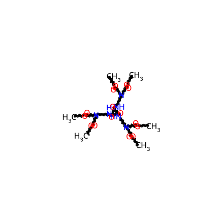 CCCCCCOC(=O)CCCCN(CCCCCCNC(=O)C1CC(C(=O)NCCCCCCN(CCCCC(=O)OCCCCCC)CCCCC(=O)OCCCCCC)CC(C(=O)NCCCCCCN(CCCCC(=O)OCCCCCC)CCCCC(=O)OCCCCCC)C1)CCCCC(=O)OCCCCCC